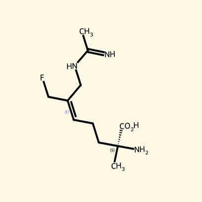 CC(=N)NC/C(=C\CC[C@](C)(N)C(=O)O)CF